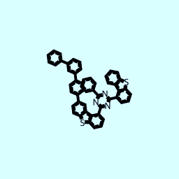 c1ccc(-c2cccc(-c3ccc(-c4ccc5sc6cccc(-c7nc(-c8ccccc8)nc(-c8cccc9sc%10ccccc%10c89)n7)c6c5c4)cc3)c2)cc1